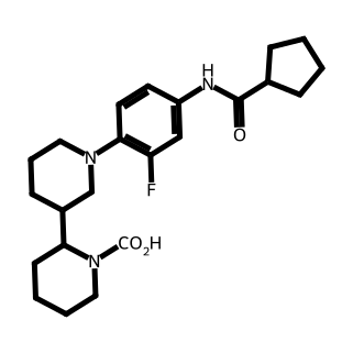 O=C(Nc1ccc(N2CCCC(C3CCCCN3C(=O)O)C2)c(F)c1)C1CCCC1